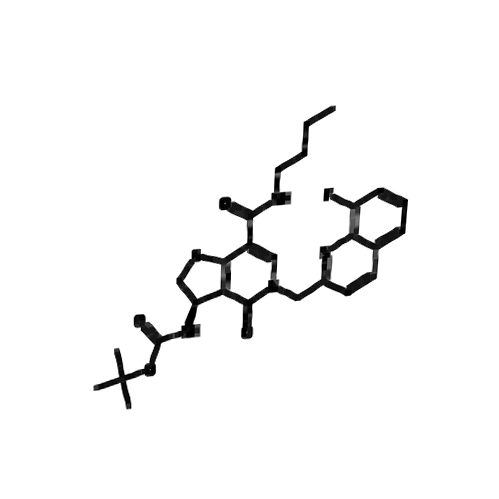 CCCCNC(=O)c1cn(Cc2ccc3cccc(F)c3n2)c(=O)c2c1SC[C@@H]2NC(=O)OC(C)(C)C